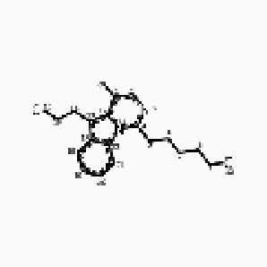 Cc1cnc(CCCCCCl)n2c1c(CCCl)c1ccccc12